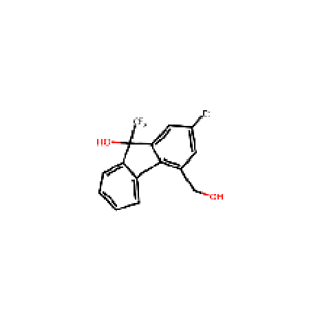 CCc1cc(CO)c2c(c1)C(O)(C(F)(F)F)c1ccccc1-2